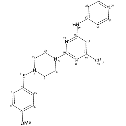 COc1ccc(SN2CCN(c3nc(C)cc(Nc4ccncc4)n3)CC2)cc1